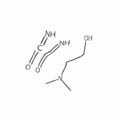 CN(C)CCO.N=C=O.N=C=O